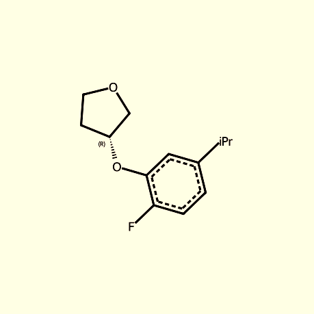 CC(C)c1ccc(F)c(O[C@@H]2CCOC2)c1